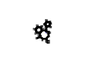 CN1CC(Cl)C/N=C(/c2ccsc2)c2ccccc21